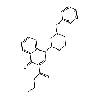 CCOC(=O)c1cn(C2CCCN(Cc3ccccc3)C2)c2ncccc2c1=O